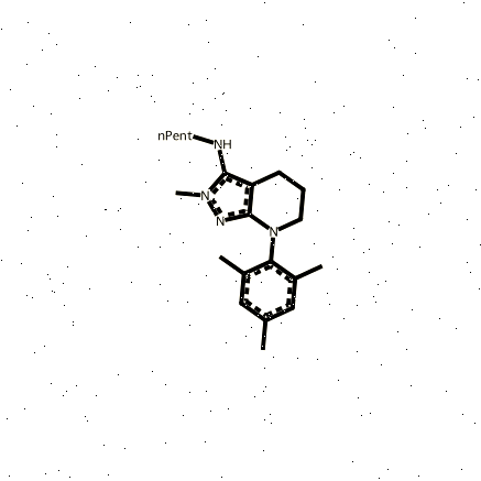 CCCCCNc1c2c(nn1C)N(c1c(C)cc(C)cc1C)CCC2